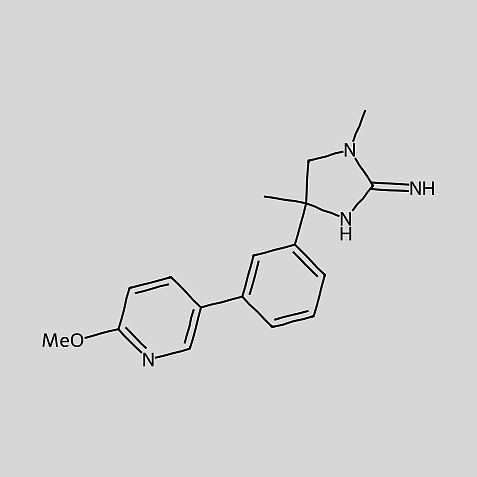 COc1ccc(-c2cccc(C3(C)CN(C)C(=N)N3)c2)cn1